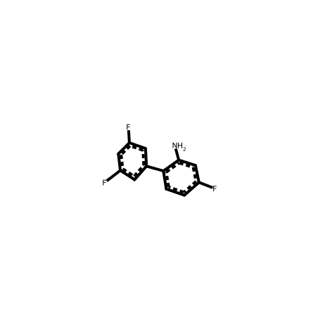 Nc1cc(F)ccc1-c1cc(F)cc(F)c1